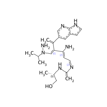 C=C(\N=C/C=C(N)/C(=C/N(N)C(C)C)C(=C)c1cnc2[nH]ccc2c1)N[C@@H](C)CO